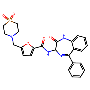 O=C(NC1N=C(c2ccccc2)c2ccccc2NC1=O)c1ccc(CN2CCS(=O)(=O)CC2)o1